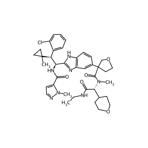 CCNC(=O)[C@@H](C1CCOCC1)N(C)C(=O)C1(c2ccc3[nH]c([C@@H](NC(=O)c4ccnn4C)[C@H](c4ccccc4Cl)C4(C)CC4)nc3c2)CCOC1